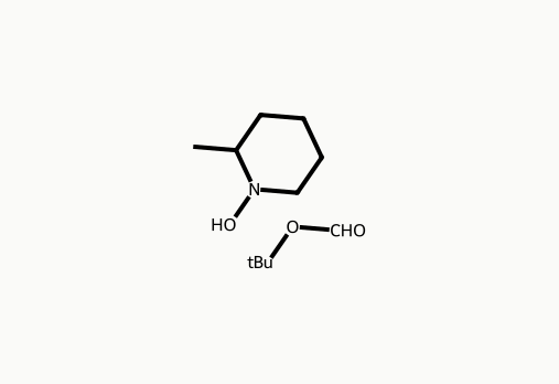 CC(C)(C)OC=O.CC1CCCCN1O